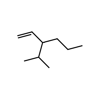 C=C[C](CCC)C(C)C